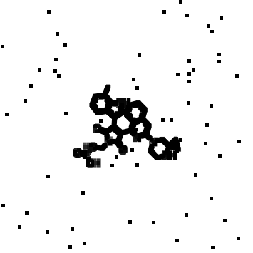 Cc1cccc2c(C3=C(c4nc(N5CCNC6(CC6)C5)cc5ccccc45)C(=O)N(CO[PH](=O)O)C3=O)c[nH]c12